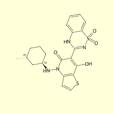 C[C@@H]1CCC[C@@H](Nn2c(=O)c(C3=NS(=O)(=O)c4ccccc4N3)c(O)c3sccc32)C1